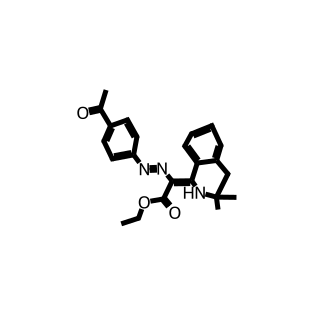 CCOC(=O)C(N=Nc1ccc(C(C)=O)cc1)=C1NC(C)(C)Cc2ccccc21